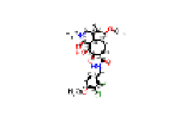 COC[C@@H]1C[C@]12CN(C)C(=O)/C1=C(\O)C(=O)/C(C(=O)NCc3ccc(OC)c(Cl)c3F)=C\CCC12